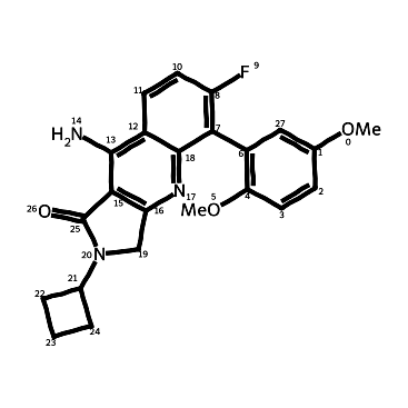 COc1ccc(OC)c(-c2c(F)ccc3c(N)c4c(nc23)CN(C2CCC2)C4=O)c1